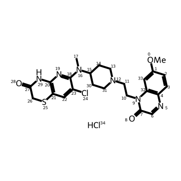 COc1ccc2ncc(=O)n(CCN3CCC(N(C)c4nc5c(cc4Cl)SCC(=O)N5)CC3)c2c1.Cl